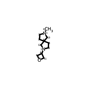 CN1CCC2(CCN(C3COC3)C2)C1